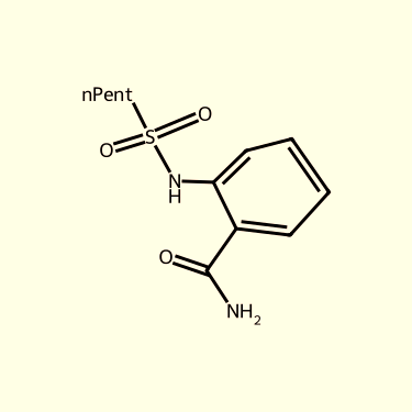 CCCCCS(=O)(=O)Nc1ccccc1C(N)=O